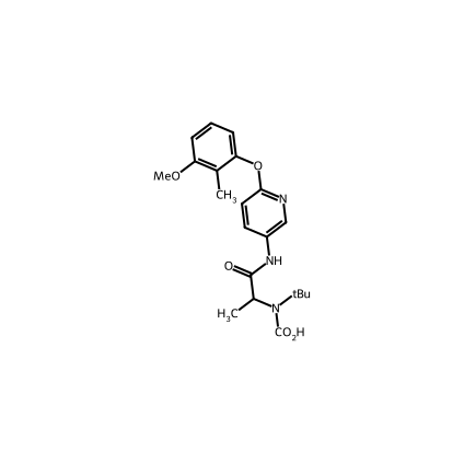 COc1cccc(Oc2ccc(NC(=O)C(C)N(C(=O)O)C(C)(C)C)cn2)c1C